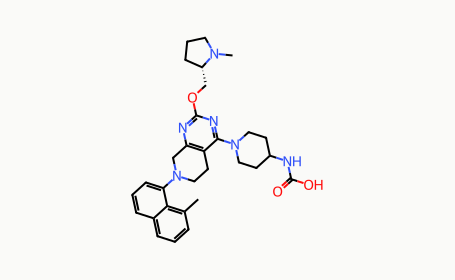 Cc1cccc2cccc(N3CCc4c(nc(OC[C@@H]5CCCN5C)nc4N4CCC(NC(=O)O)CC4)C3)c12